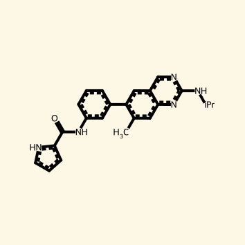 Cc1cc2nc(NC(C)C)ncc2cc1-c1cccc(NC(=O)c2ccc[nH]2)c1